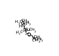 CCc1nn(CCNC(=O)OC(C)(C)C)c(CC)c1Sc1ccc(C=CC(C)(C)C)cc1